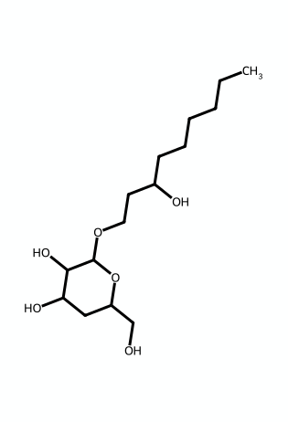 CCCCCCC(O)CCOC1OC(CO)CC(O)C1O